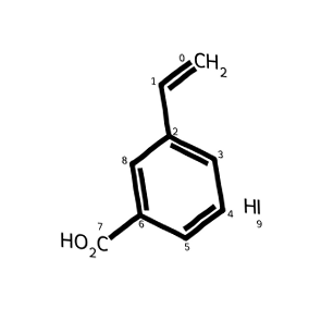 C=Cc1cccc(C(=O)O)c1.I